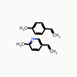 C=Cc1ccc(C)cc1.C=Cc1ccc(C)nc1